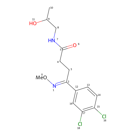 CON=C(CCC(=O)NCC(C)O)c1ccc(Cl)c(Cl)c1